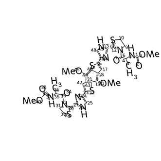 COC(=O)NC(C)C(=O)N1CCS[C@H]1c1nc(-c2cc3c(OC)c4sc(-c5c[nH]c([C@@H]6SCCN6C(=O)C(C)NC(=O)OC)n5)cc4c(OC)c3s2)c[nH]1